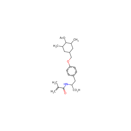 C=C(C)C(=O)NC(Cc1ccc(OCC2CC(C)C(OC(C)=O)C(C)C2)cc1)C(=O)O